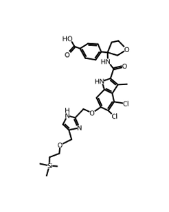 Cc1c(C(=O)NC2(c3ccc(C(=O)O)cc3)CCOC2)[nH]c2cc(OCc3nc(COCC[Si](C)(C)C)c[nH]3)c(Cl)c(Cl)c12